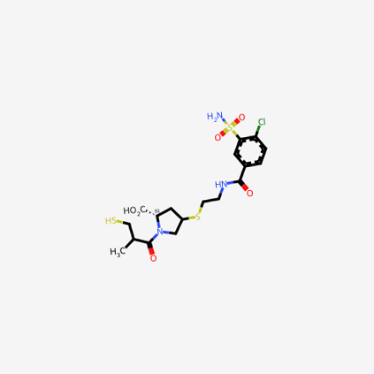 CC(CS)C(=O)N1CC(SCCNC(=O)c2ccc(Cl)c(S(N)(=O)=O)c2)C[C@H]1C(=O)O